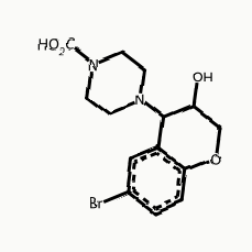 O=C(O)N1CCN(C2c3cc(Br)ccc3OCC2O)CC1